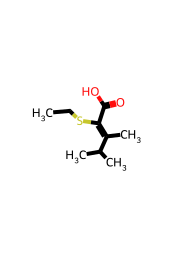 CCS/C(C(=O)O)=C(/C)C(C)C